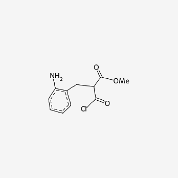 COC(=O)C(Cc1ccccc1N)C(=O)Cl